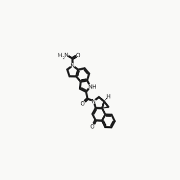 NC(=O)N1CCc2c1ccc1[nH]c(C(=O)N3C[C@H]4C[C@@]45C3=CC(=O)c3ccccc35)cc21